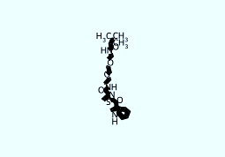 CC(C)(C)CC(=O)NCCOCCOCCNC(=O)c1csc(C(=O)c2c[nH]c3ccccc23)n1